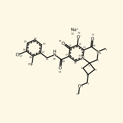 COCC1CC2(C1)CN(C)C(=O)c1c([O-])c(=O)c(C(=O)NCc3cccc(Cl)c3F)cn12.[Na+]